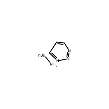 CCCCN.c1cnnnc1